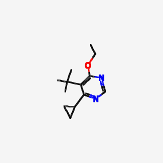 CCOc1ncnc(C2CC2)c1C(C)(C)C